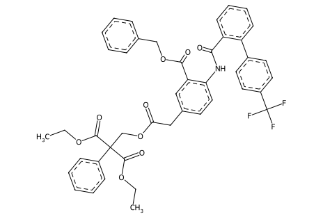 CCOC(=O)C(COC(=O)Cc1ccc(NC(=O)c2ccccc2-c2ccc(C(F)(F)F)cc2)c(C(=O)OCc2ccccc2)c1)(C(=O)OCC)c1ccccc1